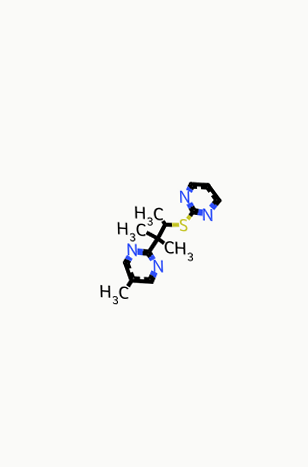 Cc1cnc(C(C)(C)C(C)Sc2ncccn2)nc1